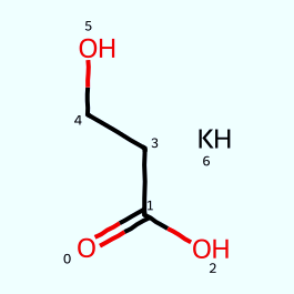 O=C(O)CCO.[KH]